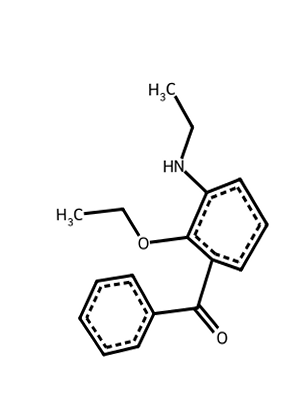 CCNc1cccc(C(=O)c2ccccc2)c1OCC